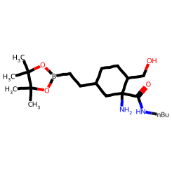 CCCCNC(=O)C1(N)CC(CCB2OC(C)(C)C(C)(C)O2)CCC1CO